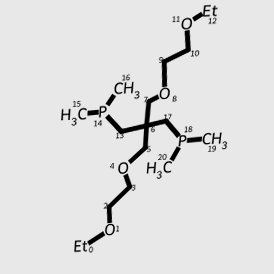 CCOCCOCC(COCCOCC)(CP(C)C)CP(C)C